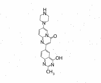 Cc1nc(O)c2cc(-c3cc(=O)n4cc(N5CCNCC5)ccc4n3)ccc2n1